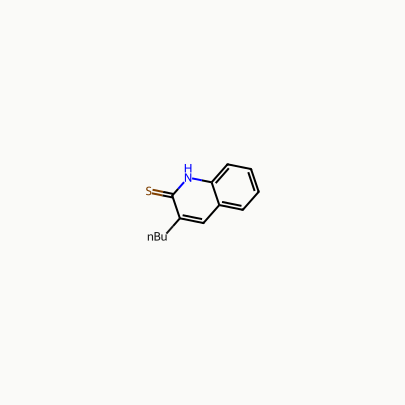 CCCCc1cc2ccccc2[nH]c1=S